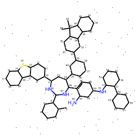 CC1CCCCC1C1NC(C2CCC3SC4CCCCC4C3C2)CC(C2CCCC(C3CCC4C(C3)C3CCCCC3C4(C)C)C2)C(C2=CCC(NC3CCCCC3C3CCCCC3)CC2N)N1